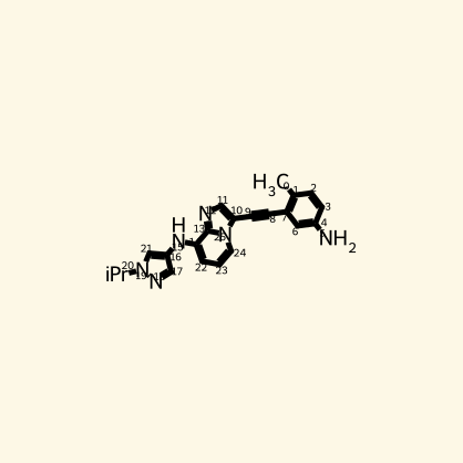 Cc1ccc(N)cc1C#Cc1cnc2c(Nc3cnn(C(C)C)c3)cccn12